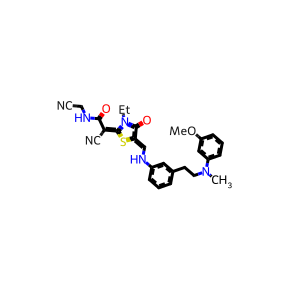 CCn1c(=C(C#N)C(=O)NCC#N)sc(=CNc2cccc(CCN(C)c3cccc(OC)c3)c2)c1=O